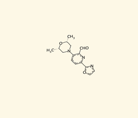 C[C@@H]1CN(c2ccc(-c3ncco3)nc2C=O)C[C@H](C)O1